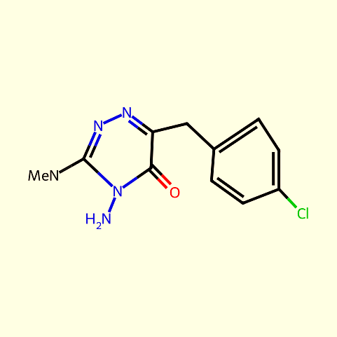 CNc1nnc(Cc2ccc(Cl)cc2)c(=O)n1N